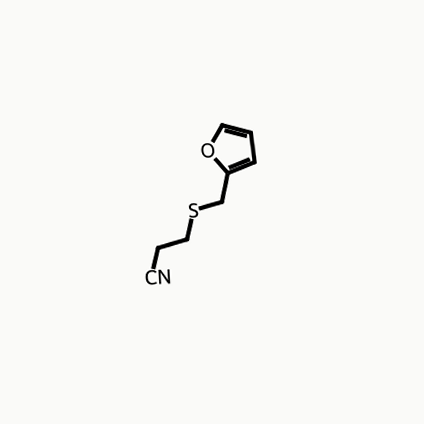 N#CCCSCc1ccco1